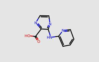 O=C(O)c1nccnc1Nc1ccccn1